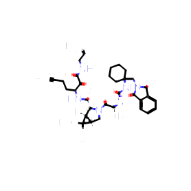 C#CCCC(NC(=O)[C@@H]1[C@@H]2[C@H](CN1C(=O)[C@@H](NC(=O)NC1(CN3C(=O)c4ccccc4C3=O)CCCCC1)C(C)(C)C)C2(C)C)C(=O)C(=O)NCC=C